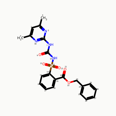 Cc1cc(C)nc(NC(=O)NS(=O)(=O)c2ccccc2C(=O)OCc2ccccc2)n1